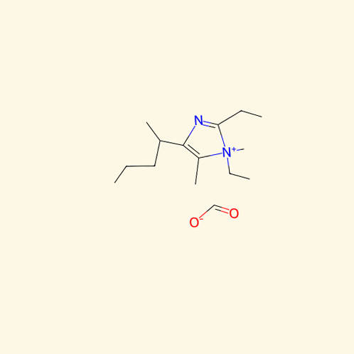 CCCC(C)C1=C(C)[N+](C)(CC)C(CC)=N1.O=C[O-]